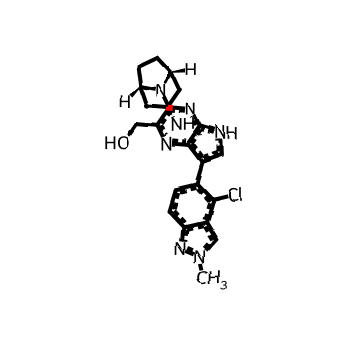 Cn1cc2c(Cl)c(-c3c[nH]c4nc(N5[C@@H]6CC[C@H]5C[C@@H](N)C6)c(CO)nc34)ccc2n1